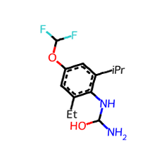 CCc1cc(OC(F)F)cc(C(C)C)c1NC(N)O